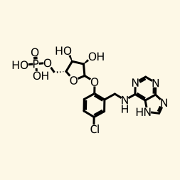 O=P(O)(O)OC[C@H]1OC(Oc2ccc(Cl)cc2CNc2ncnc3nc[nH]c23)[C@H](O)[C@@H]1O